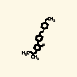 CCC(C)Cc1ccc(-c2ccc(CC[C@H]3CC[C@H](CC)CC3)cc2)c(F)c1